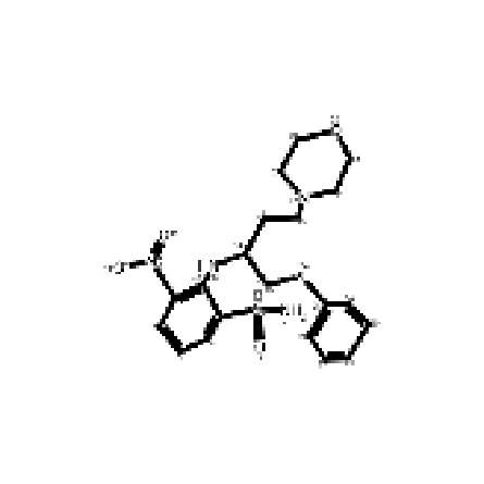 NS(=O)(=O)c1cccc([N+](=O)[O-])c1NC(CCN1CCOCC1)CSc1ccccc1